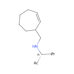 CC(=O)[C@H](NCC1C=CCCCC1)C(C)C